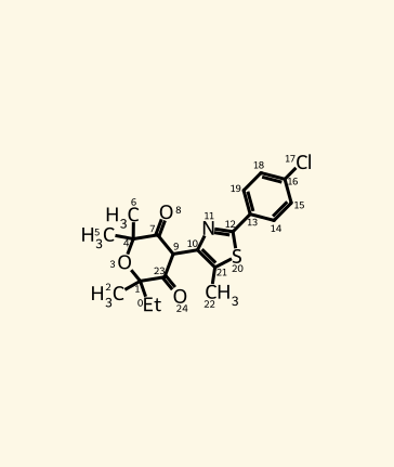 CCC1(C)OC(C)(C)C(=O)C(c2nc(-c3ccc(Cl)cc3)sc2C)C1=O